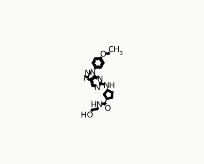 CCOc1ccc(-n2nnc3cnc(N[C@@H]4CC[C@@H](C(=O)NCCO)C4)nc32)cc1